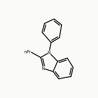 CCCc1nc2ccccc2n1-c1ccccc1